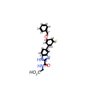 O=C(O)CNC(=O)c1nc2cc(-c3cc(F)cc(OCc4ccccc4)c3)ccc2[nH]1